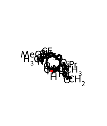 C=CC(=O)N1CC[C@H](C(=O)N(C)[C@H](C(=O)N[C@H]2Cc3cccc(c3)-c3ccc4c(c3)c(c(-c3cnn(C)c3[C@H](C)OC)n4CC(F)(F)F)CCOC(=O)[C@@H]3CCCN(N3)C2=O)C(C)C)C1